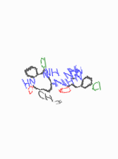 C[C@@H]1/C=C/CC(NC(=O)/C=C/c2cc(Cl)ccc2-n2cnnn2)c2nc(c(Cl)[nH]2)-c2ccccc2NC(=O)C1